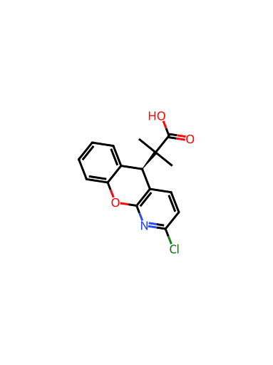 CC(C)(C(=O)O)[C@@H]1c2ccccc2Oc2nc(Cl)ccc21